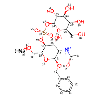 CC(=O)N[C@@H]1[C@@H](OCc2ccccc2)O[C@H](CO)[C@@H](OS(=O)(=O)O[C@@H]2O[C@H](CO)[C@H](O)[C@H](O)[C@H]2O)[C@@H]1O.[NaH]